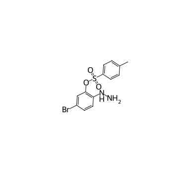 Cc1ccc(S(=O)(=O)Oc2cc(Br)ccc2NN)cc1